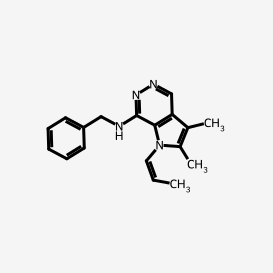 C/C=C\n1c(C)c(C)c2cnnc(NCc3ccccc3)c21